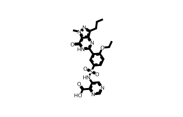 CCCc1nn(C)c2c(=O)[nH]c(-c3cc(S(=O)(=O)Nc4cncnc4C(=O)O)ccc3OCC)nc12